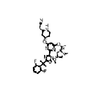 CO[C@H]1C[C@@H]([C@H](C)Oc2cc(O[C@H]3CCN[C@H](CC#N)C3)nc(-c3noc(C(C)(C)c4c(F)cccc4F)n3)n2)N(C)C1